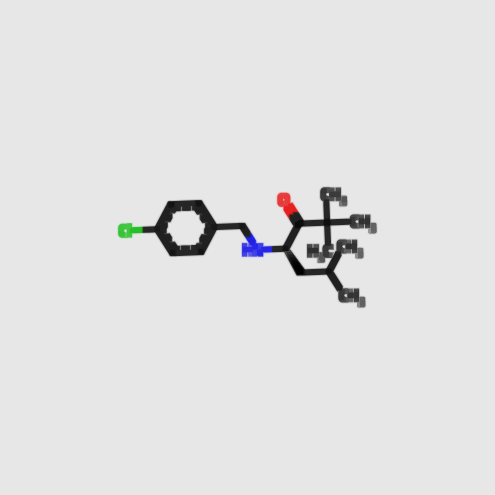 CC(C)C[C@@H](NCc1ccc(Cl)cc1)C(=O)C(C)(C)C